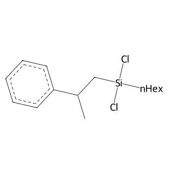 CCCCCC[Si](Cl)(Cl)CC(C)c1ccccc1